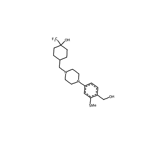 CSc1cc(N2CCN(CC3CCC(O)(C(F)(F)F)CC3)CC2)ccc1CO